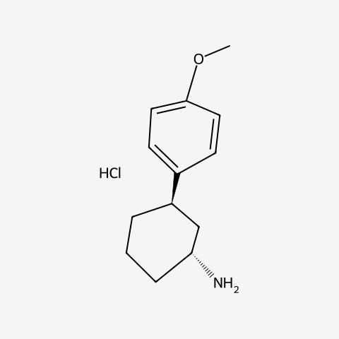 COc1ccc([C@@H]2CCC[C@@H](N)C2)cc1.Cl